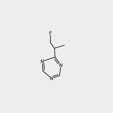 CC(CF)c1ncncn1